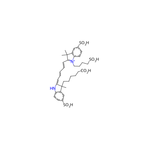 CC1(C)C(/C=C/C=C/C=C2/Nc3ccc(S(=O)(=O)O)cc3C2(C)CCCCCC(=O)O)=[N+](CCCCS(=O)(=O)O)c2ccc(S(=O)(=O)O)cc21